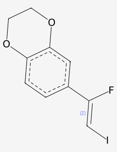 F/C(=C\I)c1ccc2c(c1)OCCO2